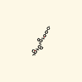 CCN(C)c1ccc(N=Nc2ccc(N=Nc3ccc(N=Nc4ccc(-c5ccc(C6CCC(C)CC6)cc5)cc4)c4ccccc34)c3ccccc23)c2ccccc12